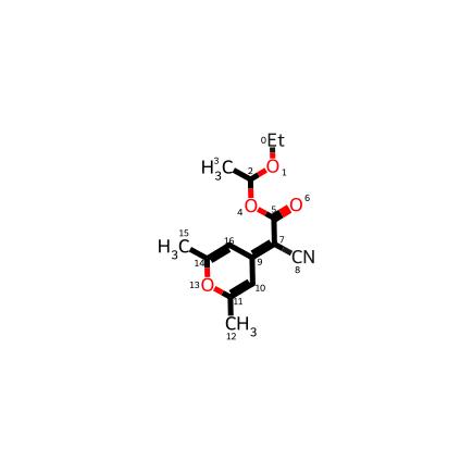 CCOC(C)OC(=O)C(C#N)=C1C=C(C)OC(C)=C1